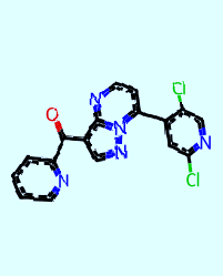 O=C(c1ccccn1)c1cnn2c(-c3cc(Cl)ncc3Cl)ccnc12